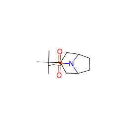 CC(C)(C)C1CC2CCC(C1)N2S(C)(=O)=O